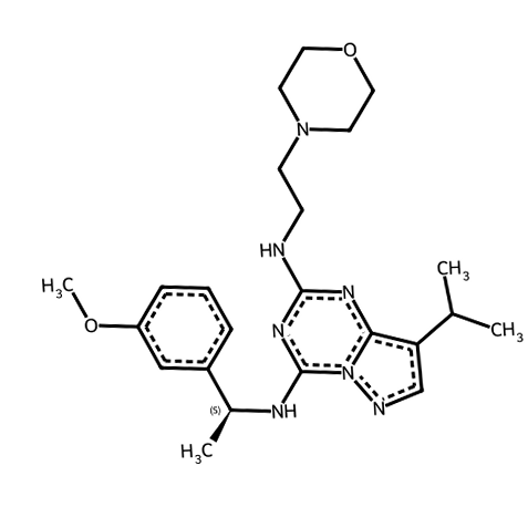 COc1cccc([C@H](C)Nc2nc(NCCN3CCOCC3)nc3c(C(C)C)cnn23)c1